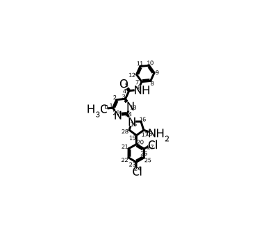 Cc1cc(C(=O)Nc2ccccc2)nc(N2CC(N)C(c3ccc(Cl)cc3Cl)C2)n1